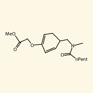 CCCCCC(=O)N(C)CC1C=CC(OCC(=O)OC)=CC1